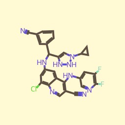 N#Cc1cccc(C(Nc2cc(Cl)c3ncc(C#N)c(Nc4cnc(F)c(F)c4)c3c2)C2=CN(C3CC3)NN2)c1